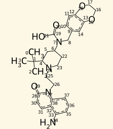 CC(C)(C)C1CC(N(Cc2ccc3c(c2)OCCO3)C(=O)O)CCN1CCn1c(=O)ccc2c(N)cccc21